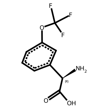 N[C@@H](C(=O)O)c1cccc(OC(F)(F)F)c1